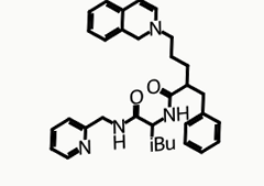 CCC(C)C(NC(=O)C(CCCN1C=Cc2ccccc2C1)Cc1ccccc1)C(=O)NCc1ccccn1